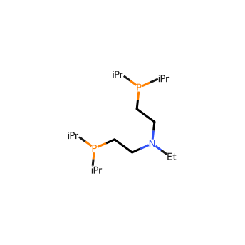 CCN(CCP(C(C)C)C(C)C)CCP(C(C)C)C(C)C